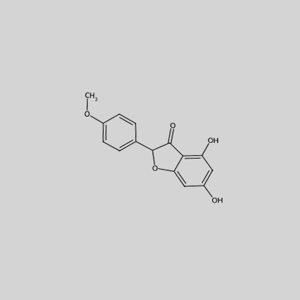 COc1ccc(C2Oc3cc(O)cc(O)c3C2=O)cc1